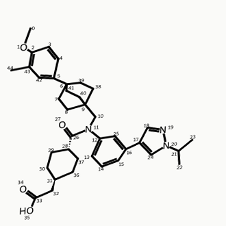 COc1ccc(C23CCC(CN(c4cccc(-c5cnn(C(C)C)c5)c4)C(=O)[C@H]4CC[C@H](CC(=O)O)CC4)(CC2)CC3)cc1C